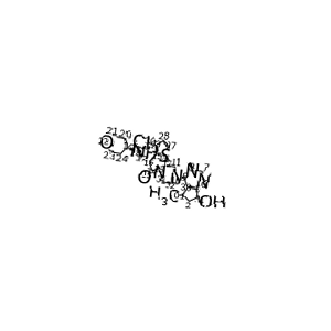 C[C@@H]1C[C@@H](O)c2ncnc(N3CCN(C(=O)[C@H](CNC4CCOCC4)c4sccc4Cl)CC3)c21